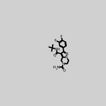 CC(C)(C)NC(=O)c1c(-c2ccc(F)c(F)c2)nn2c1CN(C(N)=O)CC2